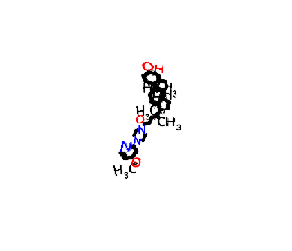 COc1ccnc(N2CCN(C(=O)CC[C@@H](C)[C@H]3CC[C@H]4[C@@H]5CC=C6C[C@@H](O)CC[C@]6(C)[C@H]5CC[C@]34C)CC2)c1